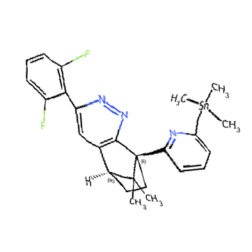 CC1(C)[C@H]2CC[C@@]1(c1ccc[c]([Sn]([CH3])([CH3])[CH3])n1)c1nnc(-c3c(F)cccc3F)cc12